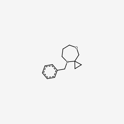 c1ccc(CN2CCCOCC23CC3)cc1